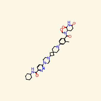 Cc1cc(N2CCC3(CC2)CC(N2CCN(c4ccc(C(=O)NC5CCCCC5)nn4)CC2)C3)ccc1C(=O)N(C=O)C1CCC(=O)NC1=O